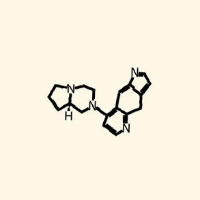 C1=NC2=Cc3c(N4CCN5CCC[C@H]5C4)ccnc3CC2=C1